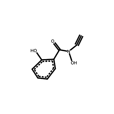 C#CN(O)C(=O)c1ccccc1O